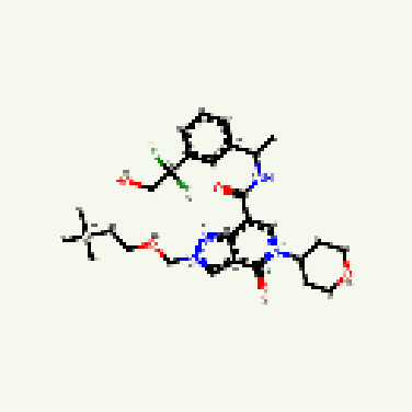 CC(NC(=O)c1cn(C2CCOCC2)c(=O)c2cn(COCC[Si](C)(C)C)nc12)c1cccc(C(F)(F)CO)c1